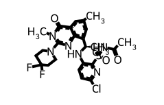 CC(=O)NS(=O)(=O)c1nc(Cl)ccc1N[C@H](C)c1cc(C)cc2c(=O)n(C)c(N3CCC(F)(F)CC3)nc12